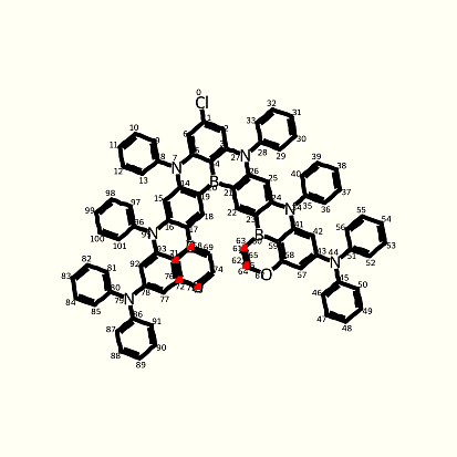 Clc1cc2c3c(c1)N(c1ccccc1)c1cc4c(cc1B3c1cc3c(cc1N2c1ccccc1)N(c1ccccc1)c1cc(N(c2ccccc2)c2ccccc2)cc2c1B3c1ccccc1O2)B1c2ccccc2Oc2cc(N(c3ccccc3)c3ccccc3)cc(c21)N4c1ccccc1